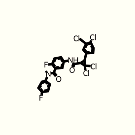 CN(C(=O)c1cc(NC(=O)C2C(c3ccc(Cl)c(Cl)c3)C2(Cl)Cl)ccc1F)c1ccc(F)cc1